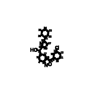 OC(c1ccc2noc(-c3cccc(Cl)c3)c2c1)c1nc(-c2ccccc2)cs1